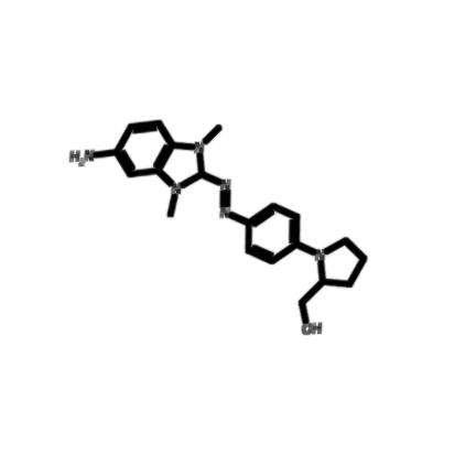 CN1c2ccc(N)cc2N(C)C1N=Nc1ccc(N2CCCC2CO)cc1